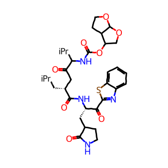 CC(C)C[C@H](CC(=O)C(NC(=O)OC1COC2OCCC12)C(C)C)C(=O)N[C@@H](CC1CCNC1=O)C(=O)c1nc2ccccc2s1